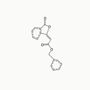 O=C(/C=C1/OC(=O)c2ccccc21)OCc1ccccc1